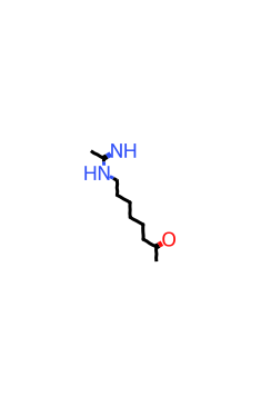 CC(=N)NCCCCCCC(C)=O